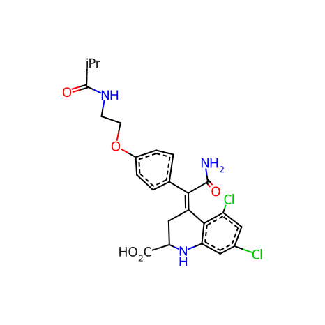 CC(C)C(=O)NCCOc1ccc(/C(C(N)=O)=C2\CC(C(=O)O)Nc3cc(Cl)cc(Cl)c32)cc1